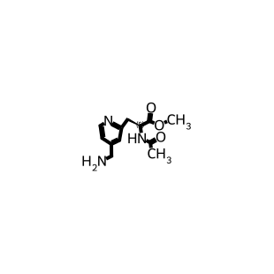 COC(=O)[C@H](Cc1cc(CN)ccn1)NC(C)=O